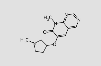 CN1CCC(Oc2cc3cncnc3n(C)c2=O)C1